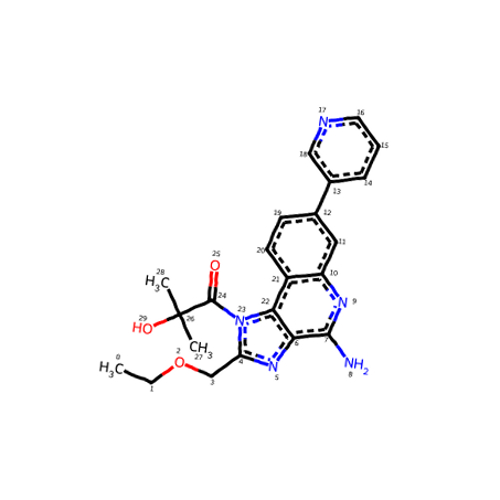 CCOCc1nc2c(N)nc3cc(-c4cccnc4)ccc3c2n1C(=O)C(C)(C)O